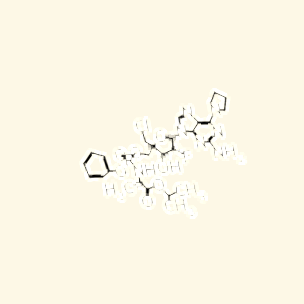 CC(C)OC(=O)[C@H](C)NP(=O)(OC[C@@]1(CCl)O[C@@H](n2cnc3c(N4CCCC4)nc(N)nc32)[C@@H](F)[C@@H]1O)Oc1ccccc1